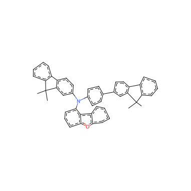 CC1(C)c2ccccc2-c2ccc(-c3ccc(N(c4ccc5c(c4)C(C)(C)c4ccccc4-5)c4cccc5oc6ccccc6c45)cc3)cc21